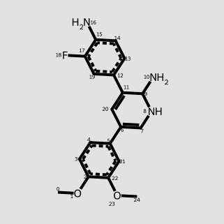 COc1ccc(C2=CNC(N)C(c3ccc(N)c(F)c3)=C2)cc1OC